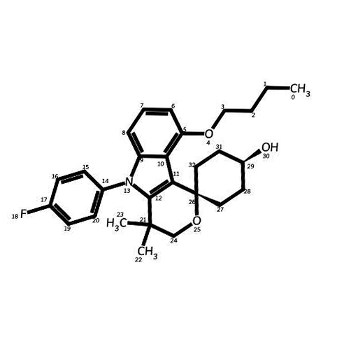 CCCCOc1cccc2c1c1c(n2-c2ccc(F)cc2)C(C)(C)CO[C@]12CC[C@H](O)CC2